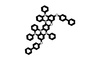 c1ccc(-c2ccc(Oc3cc4c5c(c3)N(c3ccccc3)c3ccccc3B5c3cc5c(cc3O4)N(c3ccccc3)c3cc(Oc4ccc(-c6ccccc6)cc4)cc4c3B5c3ccccc3N4c3ccccc3)cc2)cc1